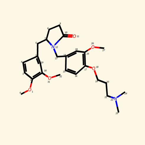 COc1ccc(CC2CCC(=O)N2Cc2ccc(OCCCN(C)C)c(OC)c2)cc1OC